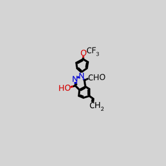 C=Cc1ccc2c(c1)C(C=O)N(c1ccc(OC(F)(F)F)cc1)N=C2O